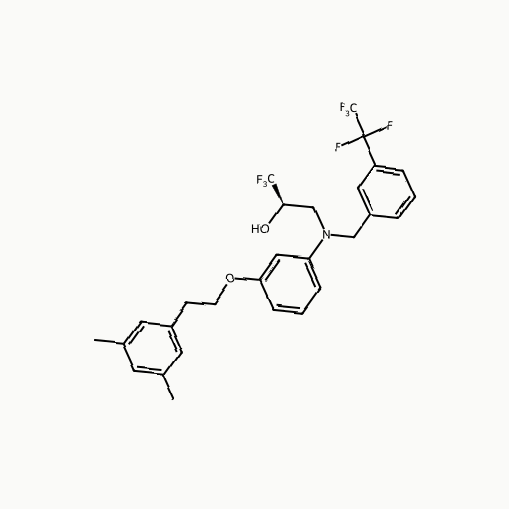 Cc1cc(C)cc(CCOc2cccc(N(Cc3cccc(C(F)(F)C(F)(F)F)c3)C[C@@H](O)C(F)(F)F)c2)c1